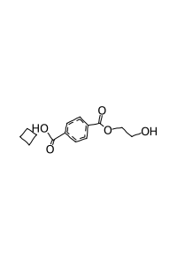 C1CCC1.O=C(O)c1ccc(C(=O)OCCO)cc1